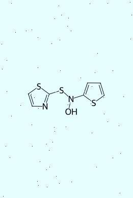 ON(Sc1nccs1)c1cccs1